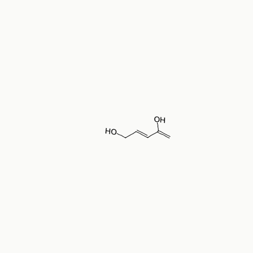 C=C(O)/C=C/CO